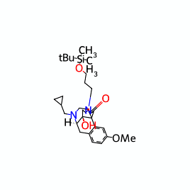 COc1ccc2c(c1)[C@]13CCN(CC4CC4)[C@H](C2)[C@]1(O)CCN(CCCO[Si](C)(C)C(C)(C)C)C(=O)C3